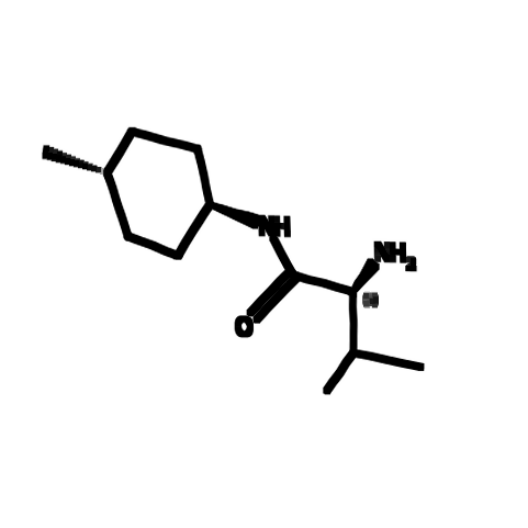 CC(C)[C@H](N)C(=O)N[C@H]1CC[C@H](C)CC1